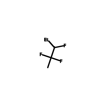 CC[C](F)C(C)(F)F